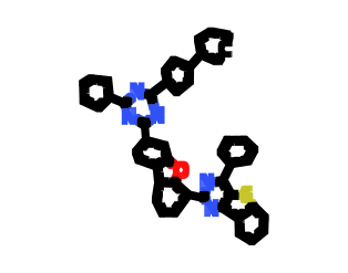 c1ccc(-c2ccc(-c3nc(-c4ccccc4)nc(-c4ccc5c(c4)oc4c(-c6nc(-c7ccccc7)c7sc8ccccc8c7n6)cccc45)n3)cc2)cc1